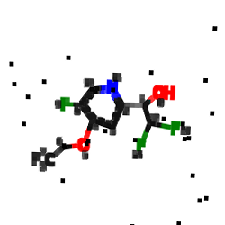 OC(c1cc(OCC(F)(F)F)c(F)cn1)C(F)F